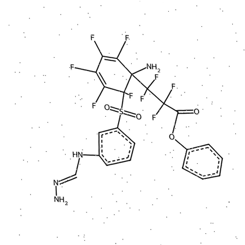 NN=CNc1cccc(S(=O)(=O)C2(F)C(F)=C(F)C(F)=C(F)C2(N)C(F)(F)C(F)(F)C(=O)Oc2ccccc2)c1